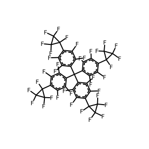 Fc1c(F)c(C2(F)C(F)(F)C2(F)F)c(F)c(F)c1C(c1c(F)c(F)c(C2(F)C(F)(F)C2(F)F)c(F)c1F)(c1c(F)c(F)c(C2(F)C(F)(F)C2(F)F)c(F)c1F)c1c(F)c(F)c(C2(F)C(F)(F)C2(F)F)c(F)c1F